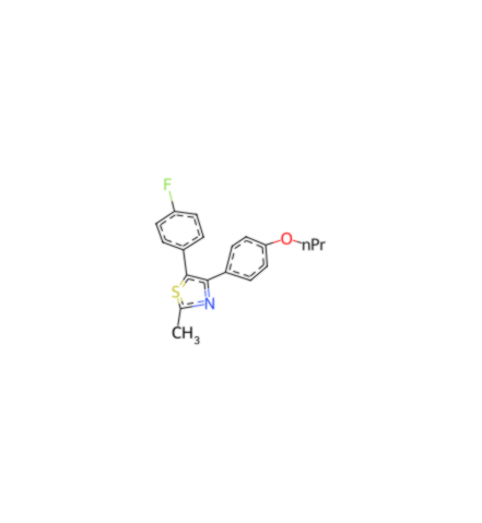 CCCOc1ccc(-c2nc(C)sc2-c2ccc(F)cc2)cc1